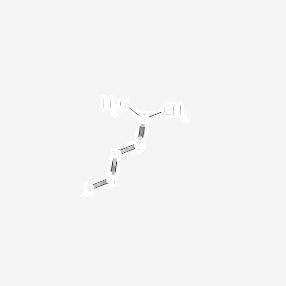 CS(C)=S=S=S=S